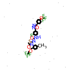 Cc1ccc(COCC(F)(F)F)c(N2C(=O)CSC2=NC(=O)Nc2ccc(-c3nnc(-c4ccc(OC(F)(F)F)cc4)o3)cc2F)c1